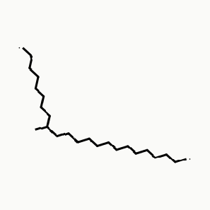 [CH2]CCCCCCCCCCCCCC(C)CCCCCCC[CH2]